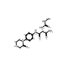 CC(C)NC(=O)N[C@H](C(N)=O)C(=O)Nc1ccc(N2CCOCC2=O)cc1